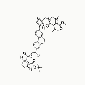 CCCN(Cc1ncc(-c2ccc3c(c2)CCc2cc(C(=O)COC(=O)[C@@H]4[C@H]5CC[C@H](C5)N4C(=O)OC(C)(C)C)ccc2-3)[nH]1)C(=O)[C@@H](NC(=O)OC)C(C)C